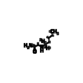 [2H]C([2H])(CCCC)NCC(N)=O